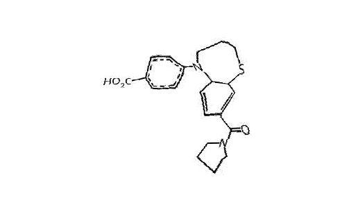 O=C(O)c1ccc(N2CCCSC3C=C(C(=O)N4CCCC4)C=CC32)cc1